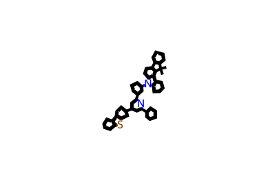 CC1(C)c2ccccc2-c2ccc3c(c21)c1ccccc1n3-c1cccc(-c2cc(-c3ccc4c(c3)sc3ccccc34)cc(-c3ccccc3)n2)c1